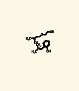 CN(C)CCOCCO.CN(C)Cc1ccccc1O